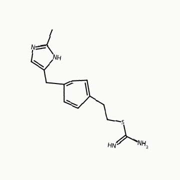 Cc1ncc(Cc2ccc(CCSC(=N)N)cc2)[nH]1